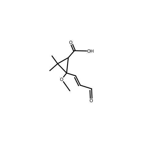 COC1(C=CC=O)C(C(=O)O)C1(C)C